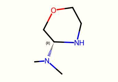 CN(C)[C@@H]1COCCN1